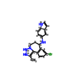 CC1=C2c3ccc(Br)cc3C(Nc3ccc4[nH]ccc4c3)CCN2NN1